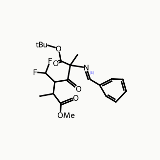 COC(=O)C(C)C(C(=O)C(C)(/N=C/c1ccccc1)C(=O)OC(C)(C)C)C(F)F